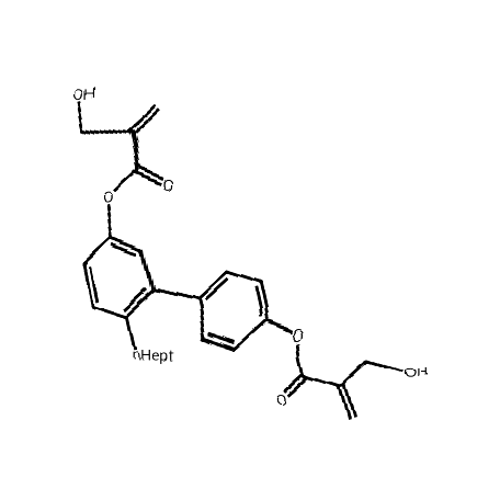 C=C(CO)C(=O)Oc1ccc(-c2cc(OC(=O)C(=C)CO)ccc2CCCCCCC)cc1